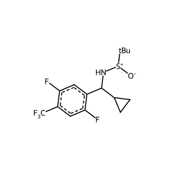 CC(C)(C)[S+]([O-])NC(c1cc(F)c(C(F)(F)F)cc1F)C1CC1